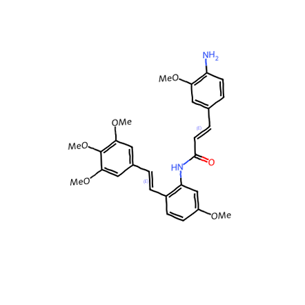 COc1ccc(/C=C/c2cc(OC)c(OC)c(OC)c2)c(NC(=O)/C=C/c2ccc(N)c(OC)c2)c1